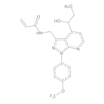 C=CC(=O)NCc1nn(-c2ccc(OC(F)(F)F)cc2)c2nccc(C(O)COC(C)=O)c12